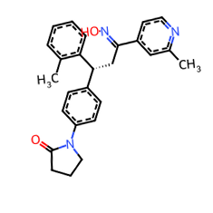 Cc1cc(/C(C[C@H](c2ccc(N3CCCC3=O)cc2)c2ccccc2C)=N/O)ccn1